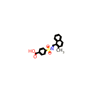 Cc1ccc2ccccc2c1/C=N/S(=O)(=O)c1ccc(C(=O)O)cc1